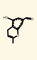 CC1=CCc2c(O)cc(C=O)cc2O1